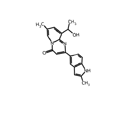 Cc1cc(C(C)O)c2nc(-c3ccc4[nH]c(C)cc4c3)cc(=O)n2c1